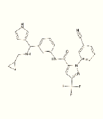 N#Cc1cccc(-n2nc(C(F)(F)F)cc2C(=O)Nc2cccc(C(NCC3CC3)c3cc[nH]c3)c2)c1